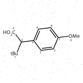 COc1ccc(C(C(=O)O)C(C)(C)C)cc1